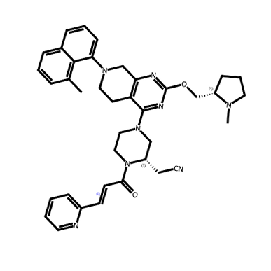 Cc1cccc2cccc(N3CCc4c(nc(OC[C@@H]5CCCN5C)nc4N4CCN(C(=O)/C=C/c5ccccn5)[C@@H](CC#N)C4)C3)c12